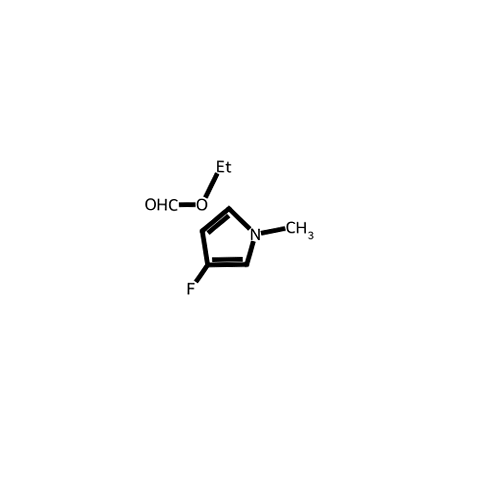 CCOC=O.Cn1ccc(F)c1